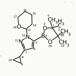 CC1(C)OB(c2cc(C3CC3)nn2C2CCCCO2)OC1(C)C